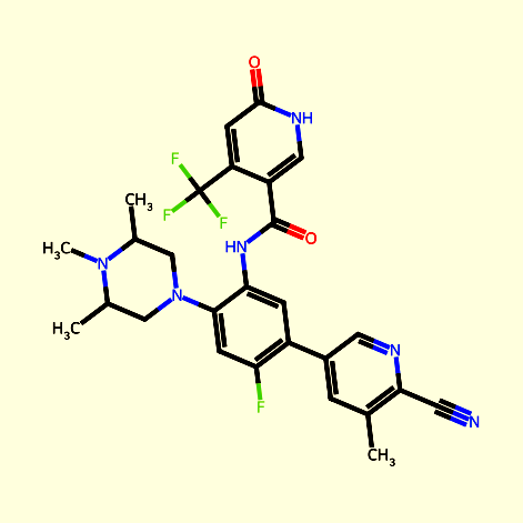 Cc1cc(-c2cc(NC(=O)c3c[nH]c(=O)cc3C(F)(F)F)c(N3CC(C)N(C)C(C)C3)cc2F)cnc1C#N